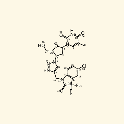 Cc1cn(C2CC(n3cc(CN4C(=O)C(F)(F)c5cc(Cl)ccc54)nn3)C(CO)O2)c(=O)[nH]c1=O